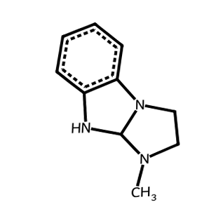 CN1CCN2c3ccccc3NC12